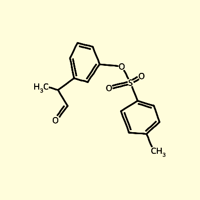 Cc1ccc(S(=O)(=O)Oc2cccc(C(C)C=O)c2)cc1